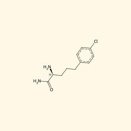 NC(=O)[C@@H](N)CCCc1ccc(Cl)cc1